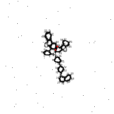 c1ccc(N(c2ccc(-c3ccc(-c4cccc5ccccc45)cc3)cc2)c2ccc3c(c2)oc2ccccc23)c(-c2cccc3c2oc2ccccc23)c1